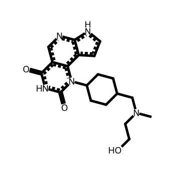 CN(CCO)CC1CCC(n2c(=O)[nH]c(=O)c3cnc4[nH]ccc4c32)CC1